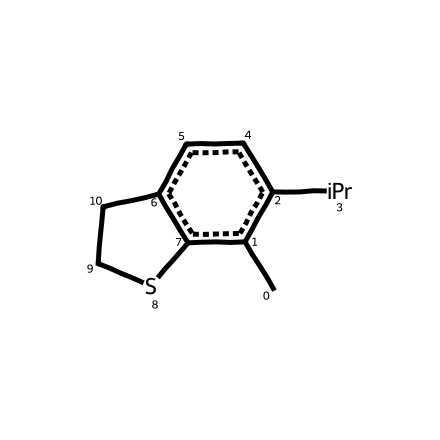 Cc1c(C(C)C)ccc2c1SCC2